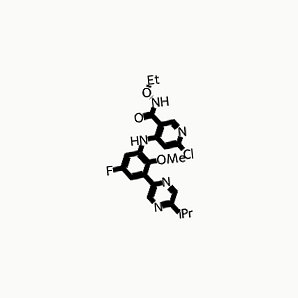 CCONC(=O)c1cnc(Cl)cc1Nc1cc(F)cc(-c2cnc(C(C)C)cn2)c1OC